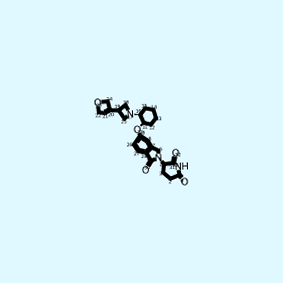 O=C1CCC(N2Cc3cc(O[C@@H]4CCCC[C@H]4N4CC(C5=CCOC5)C4)ccc3C2=O)C(=O)N1